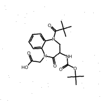 CC(C)(C)OC(=O)NC1CN(C(=O)C(C)(C)C)c2ccccc2N(CC(=O)O)C1=O